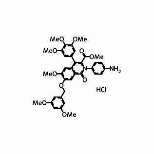 COC(=O)c1c(-c2cc(OC)c(OC)c(OC)c2)c2cc(OC)c(OCc3cc(OC)cc(OC)c3)cc2c(=O)n1-c1ccc(N)cc1.Cl